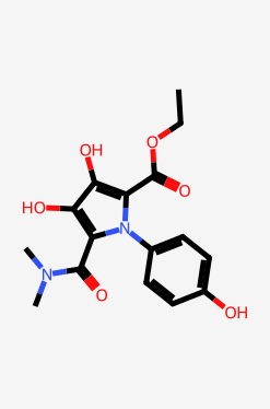 CCOC(=O)c1c(O)c(O)c(C(=O)N(C)C)n1-c1ccc(O)cc1